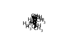 CCC1(C)Nc2c(SC)cc(NC(C)C)cc2C(C)=C1C